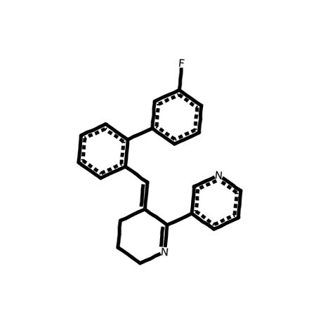 Fc1cccc(-c2ccccc2C=C2CCCN=C2c2cccnc2)c1